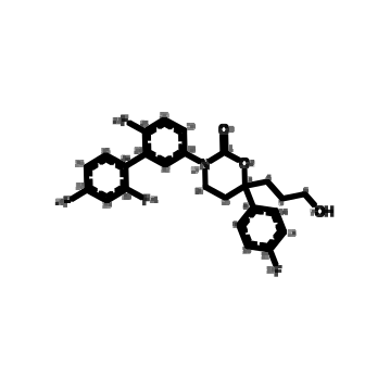 O=C1OC(CCCO)(c2ccc(F)cc2)CCN1c1ccc(F)c(-c2ccc(F)cc2F)c1